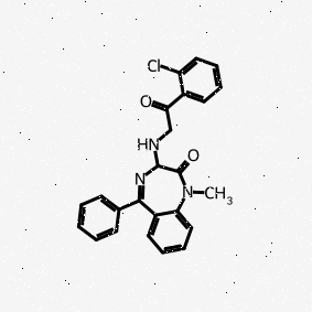 CN1C(=O)C(NCC(=O)c2ccccc2Cl)N=C(c2ccccc2)c2ccccc21